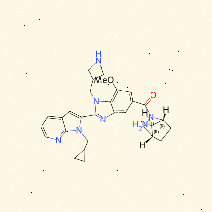 COc1cc(C(=O)N2C[C@H]3CC[C@@H]2[C@@H]3N)cc2nc(-c3cc4cccnc4n3CC3CC3)n(CC3CNC3)c12